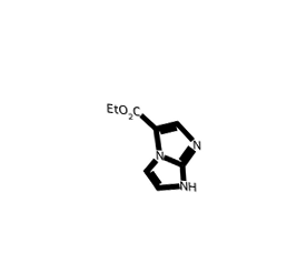 CCOC(=O)c1cnc2[nH]ccn12